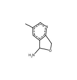 Cc1cnc2c(c1)C(N)OC2